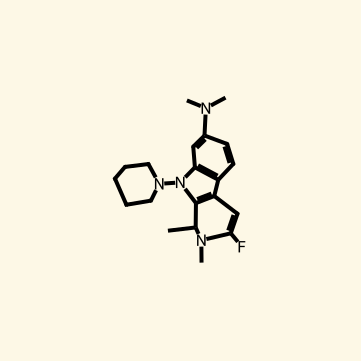 CC1c2c(c3ccc(N(C)C)cc3n2N2CCCCC2)C=C(F)N1C